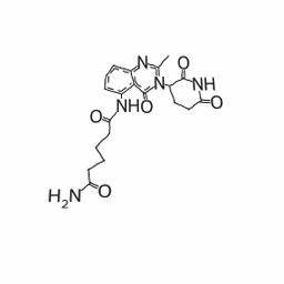 Cc1nc2cccc(NC(=O)CCCCC(N)=O)c2c(=O)n1C1CCC(=O)NC1=O